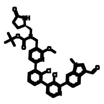 COc1nc(-c2cccc(-c3ccnc(-c4ccc5c(C=O)cn(C)c5c4)c3Cl)c2Cl)ccc1CN(C[C@@H]1CCC(=O)N1)C(=O)OC(C)(C)C